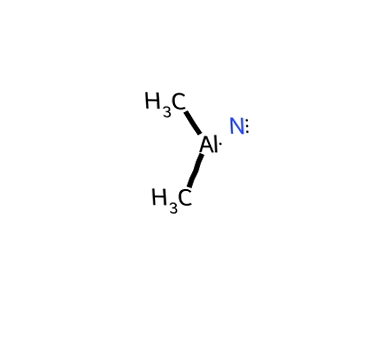 [CH3][Al][CH3].[N]